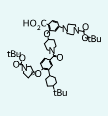 CC(C)(C)OC(=O)N1CCN(c2ccc(C(=O)O)c(OC3CCN(C(=O)c4ccc(O[C@H]5CCN(C(=O)OC(C)(C)C)C5)c(C5CCC(C(C)(C)C)CC5)c4)CC3)c2)CC1